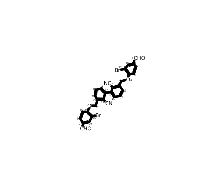 N#Cc1c(COc2ccc(C=O)cc2Br)cccc1-c1cccc(COc2ccc(C=O)cc2Br)c1C#N